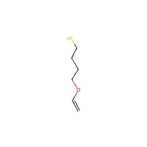 C=COCCCCS